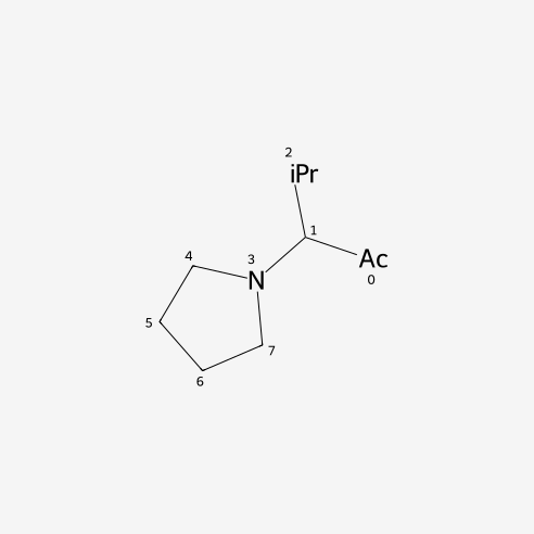 CC(=O)C(C(C)C)N1CCCC1